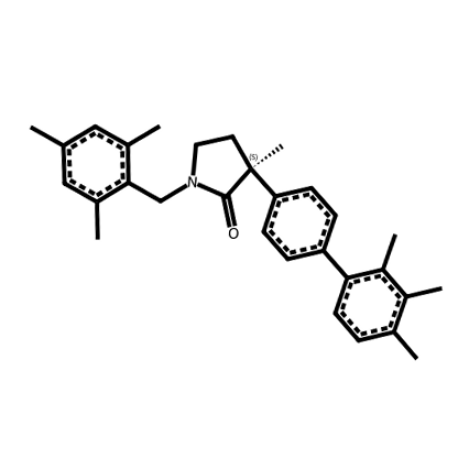 Cc1cc(C)c(CN2CC[C@@](C)(c3ccc(-c4ccc(C)c(C)c4C)cc3)C2=O)c(C)c1